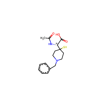 CC(=O)N[C@H](C(=O)O)C1(S)CCN(Cc2ccccc2)CC1